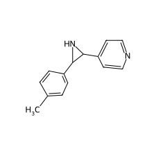 Cc1ccc(C2NC2c2ccncc2)cc1